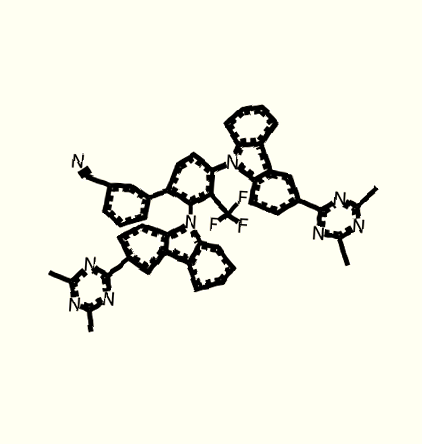 Cc1nc(C)nc(-c2ccc3c(c2)c2ccccc2n3-c2ccc(-c3cccc(C#N)c3)c(-n3c4ccccc4c4cc(-c5nc(C)nc(C)n5)ccc43)c2C(F)(F)F)n1